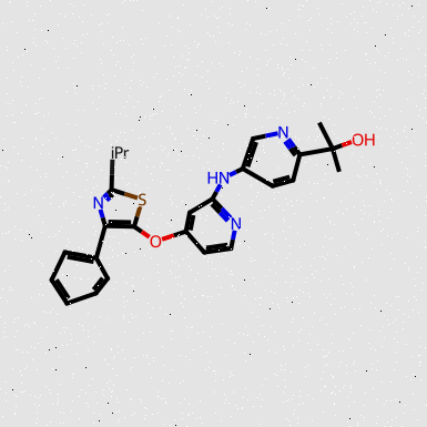 CC(C)c1nc(-c2ccccc2)c(Oc2ccnc(Nc3ccc(C(C)(C)O)nc3)c2)s1